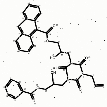 C=CCn1c(=O)n(CC(O)COC(=O)c2ccccc2)c(=O)n(CC(O)COC(=O)c2c3ccccc3cc3ccccc23)c1=O